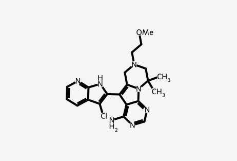 COCCN1Cc2c(-c3[nH]c4ncccc4c3Cl)c3c(N)ncnc3n2C(C)(C)C1